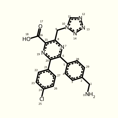 NCc1ccc(-c2nc(Cn3cnnn3)c(C(=O)O)nc2-c2ccc(Cl)cc2)cc1